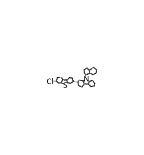 Clc1ccc2c(c1)sc1cc(-c3ccc4c5ccccc5n(-c5cccc6ccccc56)c4c3)ccc12